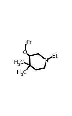 CCN1CCC(C)(C)C(OC(C)C)C1